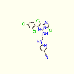 N#Cc1ccc(NCCNc2nc(-c3ccc(Cl)cc3Cl)c(Cl)c3ncc(Cl)n23)nc1